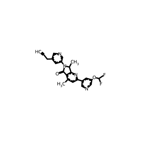 C#CCc1cncc(N2C(=O)c3c(C)cc(-c4cncc(OC(F)F)c4)nc3C2C)c1